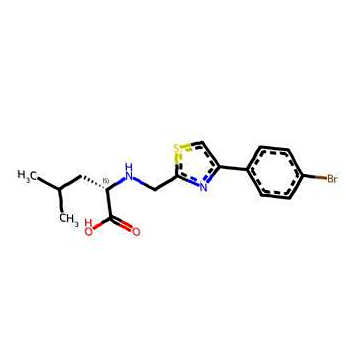 CC(C)C[C@H](NCc1nc(-c2ccc(Br)cc2)cs1)C(=O)O